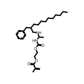 C=C(C)C(=O)OCCOC(=O)NC(C)NCC(CCCCCCCCCC)Cc1ccccc1